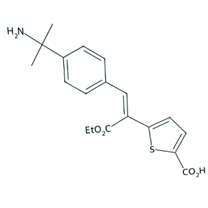 CCOC(=O)/C(=C\c1ccc(C(C)(C)N)cc1)c1ccc(C(=O)O)s1